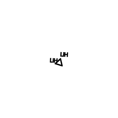 C1CC1.[LiH].[LiH]